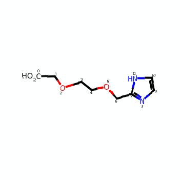 O=C(O)COCCOCc1ncc[nH]1